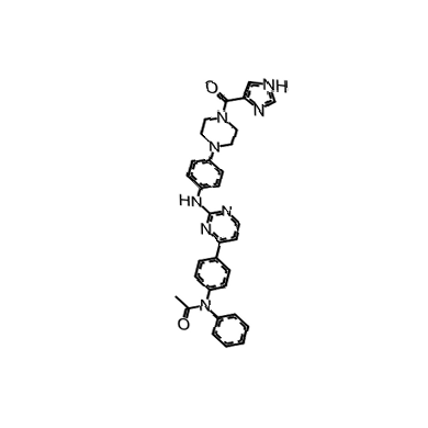 CC(=O)N(c1ccccc1)c1ccc(-c2ccnc(Nc3ccc(N4CCN(C(=O)c5c[nH]cn5)CC4)cc3)n2)cc1